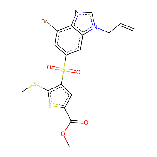 C=CCn1cnc2c(Br)cc(S(=O)(=O)c3cc(C(=O)OC)sc3SC)cc21